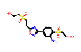 Nc1cc(-c2noc(CCS(=O)(=O)CCO)n2)ccc1S(=O)(=O)CCO